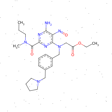 CCCN(C)C(=O)c1nc(N)c(N=O)c(N(CC(=O)OCC)Cc2cccc(CN3CCCC3)c2)n1